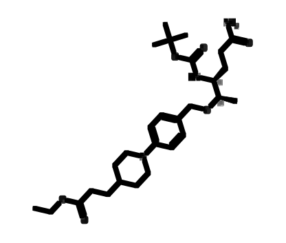 CCOC(=O)CCC1CCN(c2ccc(CO[C@H](C)[C@H](CCC(N)=O)NC(=O)OC(C)(C)C)cc2)CC1